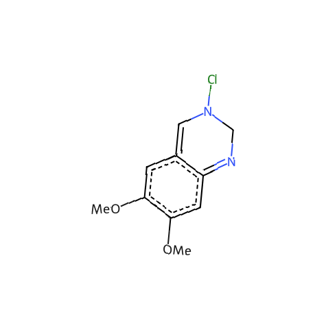 COc1cc2c(cc1OC)=NCN(Cl)C=2